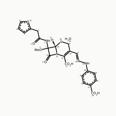 COC1(NC(=O)Cc2cccs2)C(=O)N2C(C(=O)O)=C(C=NNc3ccc(C(=O)O)cc3)CS[C@H]21.O